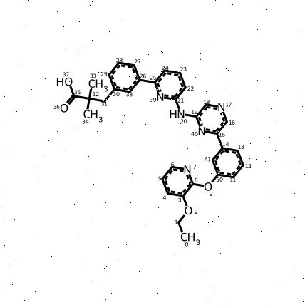 CCOc1cccnc1Oc1cccc(-c2cncc(Nc3cccc(-c4cccc(CC(C)(C)C(=O)O)c4)n3)n2)c1